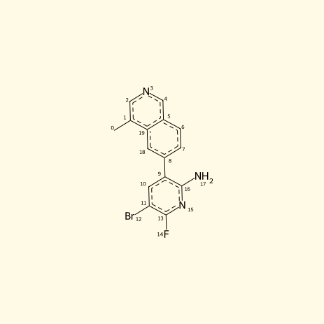 Cc1cncc2ccc(-c3cc(Br)c(F)nc3N)cc12